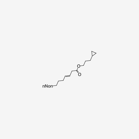 CCCCCCCCCCCCC=CCC(=O)OCCCC1CC1